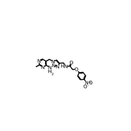 Cc1ncc(Cn2cc(CNC(=O)COc3ccc([N+](=O)[O-])cc3)nn2)c(N)n1